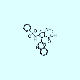 Nc1sc(NS(=O)(=O)c2ccccc2)c(-c2cnc3ccccc3n2)c1C(=O)O